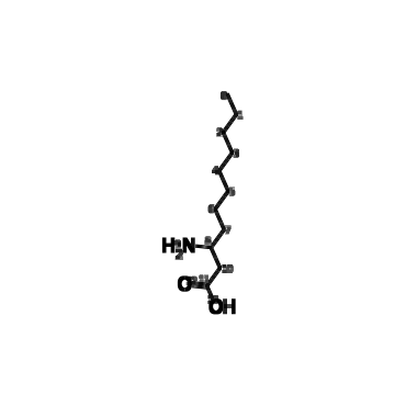 CCCCCCCCC(N)CC(=O)O